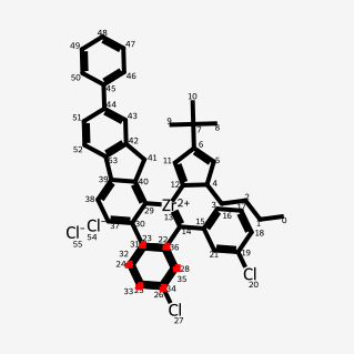 CCCCC1C=C(C(C)(C)C)C=[C]1[Zr+2](=[C](c1cccc(Cl)c1)c1cccc(Cl)c1)[c]1c(-c2ccccc2)ccc2c1Cc1cc(-c3ccccc3)ccc1-2.[Cl-].[Cl-]